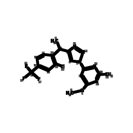 COc1cc(-n2cc(C(C)c3ccc(C(F)(F)F)cc3Cl)nn2)nc(C)n1